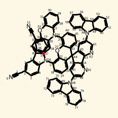 N#Cc1ccc2c(c1)c1cc(C#N)ccc1n2-c1cccc2c1Oc1c(N3c4ccccc4Oc4ccccc43)cccc1C21c2cc(-n3c4ccccc4c4ccccc43)cnc2-c2ncc(-n3c4ccccc4c4ccccc43)cc21